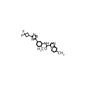 Cc1ccn2c(C(=O)Nc3cc(-c4nc(C5CC(F)(F)C5)no4)ccc3C)cnc2c1